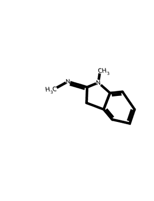 C/N=C1\Cc2ccccc2N1C